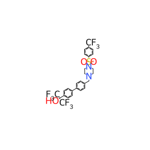 O=S(=O)(c1ccc(C(F)(F)F)cc1)N1CCN(Cc2ccc(-c3ccc(C(O)(C(F)(F)F)C(F)(F)F)cc3)cc2)CC1